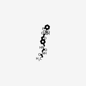 C=CC(=O)NCC(=O)NCc1ccc2cc(C(=O)NS(=O)(=O)c3ccccc3F)oc2c1